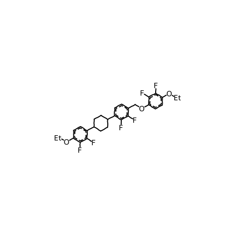 CCOc1ccc(OCc2ccc(C3CCC(c4ccc(OCC)c(F)c4F)CC3)c(F)c2F)c(F)c1F